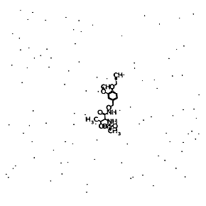 C#CCOc1ccc(CONC(=O)C(NS(C)(=O)=O)C(C)C)cc1OC